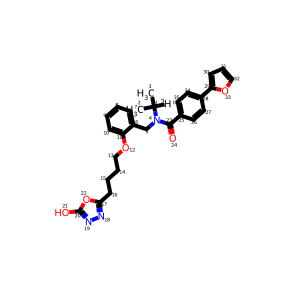 [2H]C(C)(C)N(Cc1ccccc1OCCCCc1nnc(O)o1)C(=O)c1ccc(-c2ccco2)cc1